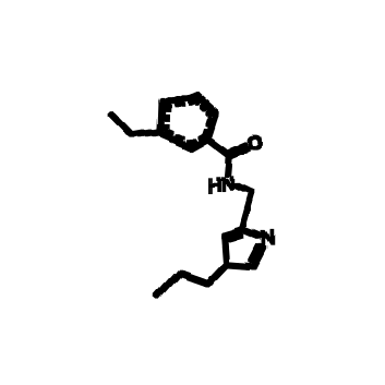 CCCC1C=NC(CNC(=O)c2cccc(CC)c2)=C1